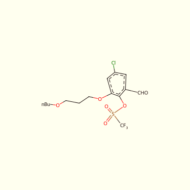 CCCCOCCCOc1cc(Cl)cc(C=O)c1OS(=O)(=O)C(F)(F)F